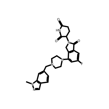 Cn1ncc2ccc(CN3CCN(c4cc(F)cc5c4CN(C4CCC(=O)NC4=O)C5=O)CC3)cc21